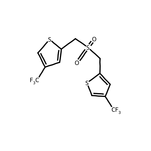 O=S(=O)(Cc1cc(C(F)(F)F)cs1)Cc1cc(C(F)(F)F)cs1